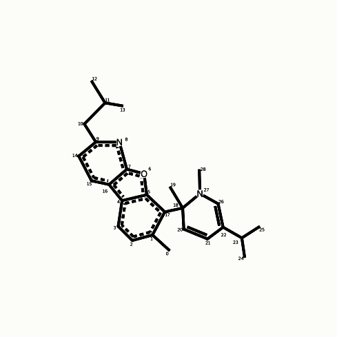 Cc1ccc2c(oc3nc(CC(C)C)ccc32)c1C1(C)C=CC(C(C)C)=CN1C